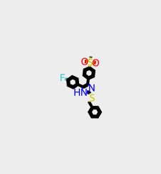 CS(=O)(=O)c1ccc(-c2nc(SCc3ccccc3)[nH]c2-c2ccc(F)cc2)cc1